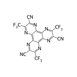 N#Cc1nc2c(nc1C(F)(F)F)c1nc(C#N)c(C(F)(F)F)nc1c1nc(C#N)c(C(F)(F)F)nc21